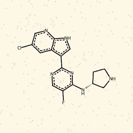 Fc1cnc(-c2c[nH]c3ncc(Cl)cc23)nc1N[C@@H]1CCNC1